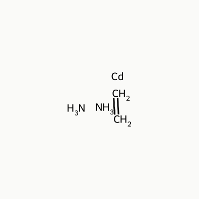 C=C.N.N.[Cd]